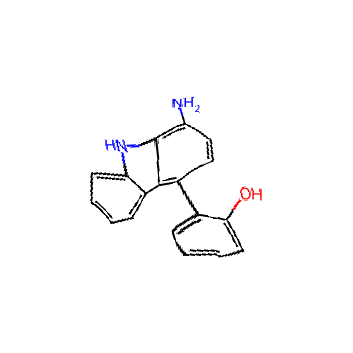 Nc1ccc(-c2ccccc2O)c2c1[nH]c1ccccc12